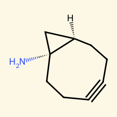 N[C@@]12CCC#CCC[C@@H]1C2